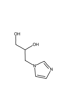 OCC(O)Cn1ccnc1